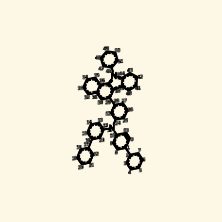 c1c(-c2ccccc2)ccc(N(c2cccc(-c3ccccc3)c2)c2cccc(-c3cc4ccccc4c4c3c3ccccc3n4-c3ccccc3)c2)c#1